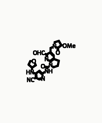 COC1CCN(Cc2cc3c(nc2C=O)N(C(=O)Nc2cc(NC4CCOC4)c(C#N)cn2)CCC3)C1=O